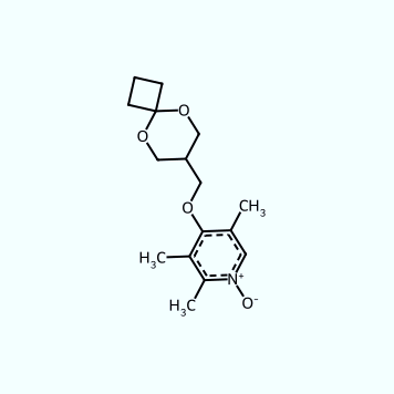 Cc1c[n+]([O-])c(C)c(C)c1OCC1COC2(CCC2)OC1